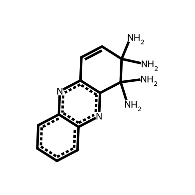 NC1(N)C=Cc2nc3ccccc3nc2C1(N)N